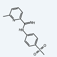 Cc1cccc(C(=N)Nc2ccc(S(C)(=O)=O)cc2)n1